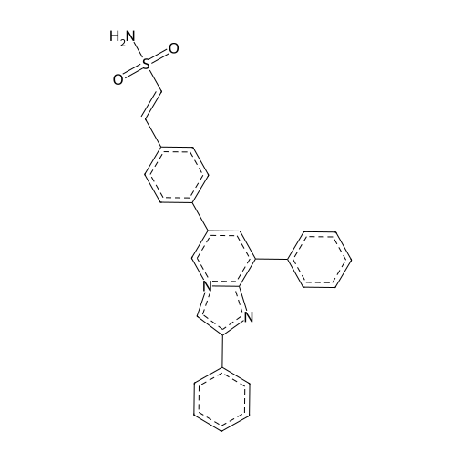 NS(=O)(=O)C=Cc1ccc(-c2cc(-c3ccccc3)c3nc(-c4ccccc4)cn3c2)cc1